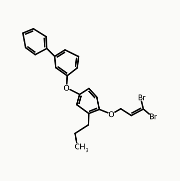 CCCc1cc(Oc2cccc(-c3ccccc3)c2)ccc1OCC=C(Br)Br